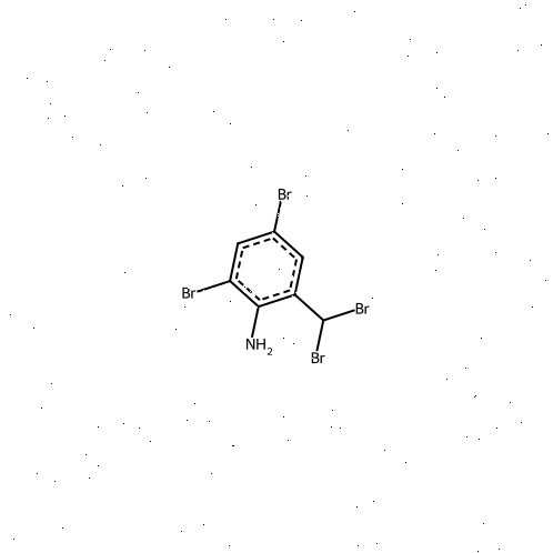 Nc1c(Br)cc(Br)cc1C(Br)Br